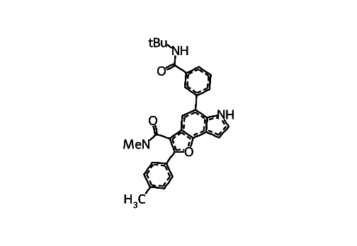 CNC(=O)c1c(-c2ccc(C)cc2)oc2c1cc(-c1cccc(C(=O)NC(C)(C)C)c1)c1[nH]ccc12